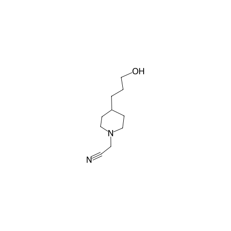 N#CCN1CCC(CCCO)CC1